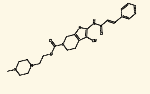 CN1CCN(CCOC(=O)N2CCc3c(sc(NC(=O)C=Cc4ccccc4)c3C#N)C2)CC1